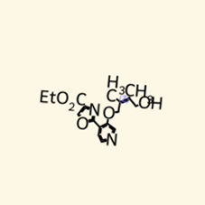 CCOC(=O)c1coc(-c2ccncc2OC/C(C)=C(/C)CO)n1